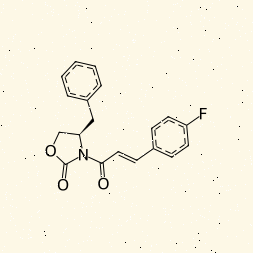 O=C(C=Cc1ccc(F)cc1)N1C(=O)OC[C@H]1Cc1ccccc1